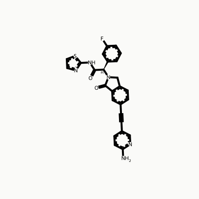 Nc1ccc(C#Cc2ccc3c(c2)C(=O)N([C@@H](C(=O)Nc2nccs2)c2cccc(F)c2)C3)cn1